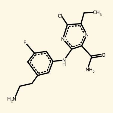 CCc1nc(C(N)=O)c(Nc2cc(F)cc(CCN)c2)nc1Cl